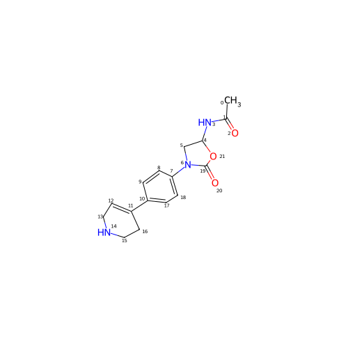 CC(=O)NC1CN(c2ccc(C3=CCNCC3)cc2)C(=O)O1